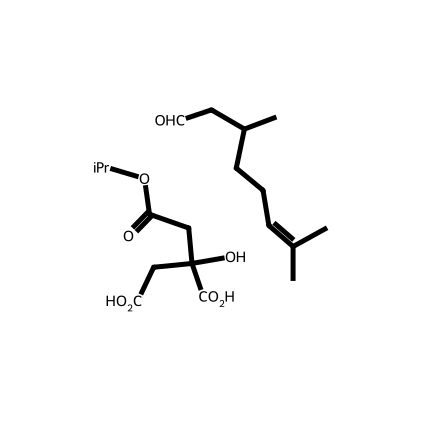 CC(C)=CCCC(C)CC=O.CC(C)OC(=O)CC(O)(CC(=O)O)C(=O)O